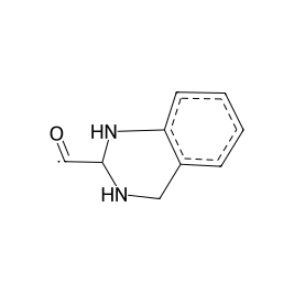 O=[C]C1NCc2ccccc2N1